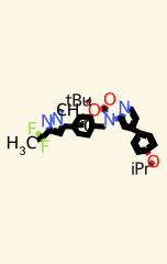 CC(C)Oc1ccc(-c2ccnc(N(CC34CCC(c5cc(C(C)(F)F)nn5C)(CC3)CC4)C(=O)OC(C)(C)C)c2)cc1